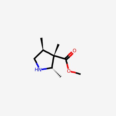 COC(=O)[C@@]1(C)[C@H](C)CN[C@H]1C